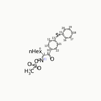 CCCCCC/C(=N\OS(C)(=O)=O)C(=O)c1ccc(Sc2ccccc2)cc1